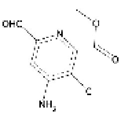 COC=O.Nc1cc(C=O)ncc1Cl